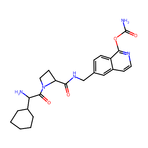 NC(=O)Oc1nccc2cc(CNC(=O)C3CCN3C(=O)C(N)C3CCCCC3)ccc12